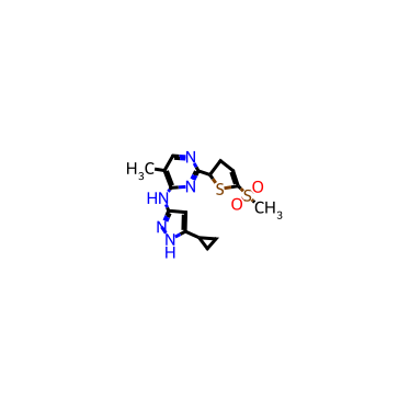 Cc1cnc(C2CC=C(S(C)(=O)=O)S2)nc1Nc1cc(C2CC2)[nH]n1